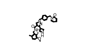 COc1ccc(C)c(CNC(=O)c2cn(Cc3ccc(Cn4ccccc4=O)cc3)nc2C2CNC2)c1F